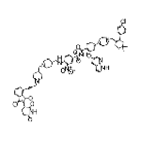 CC1(C)CCC(CN2CCN(c3ccc(C(=O)NS(=O)(=O)c4ccc(NCC5CCN(CC6CCN(CC#Cc7cccc8c7C(=O)N(C7CCC(=O)NC7=O)C8=O)CC6)CC5)c([N+](=O)[O-])c4)c(Oc4cnc5[nH]ccc5c4)c3)CC2)=C(c2ccc(Cl)cc2)C1